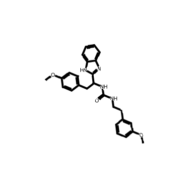 COc1ccc(CC(NC(=O)NCCc2cccc(OC)c2)c2nc3ccccc3[nH]2)cc1